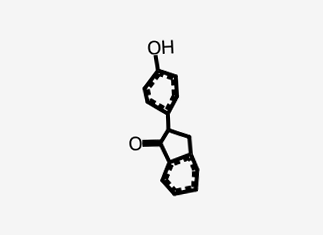 O=C1c2ccccc2CC1c1ccc(O)cc1